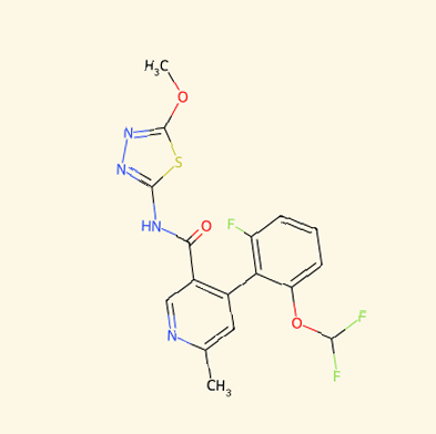 COc1nnc(NC(=O)c2cnc(C)cc2-c2c(F)cccc2OC(F)F)s1